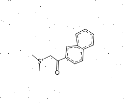 C[S+](C)CC(=O)c1ccc2ccccc2c1